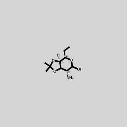 CC[C@H]1OC(O)[C@H](N)C2OC(C)(C)O[C@H]21